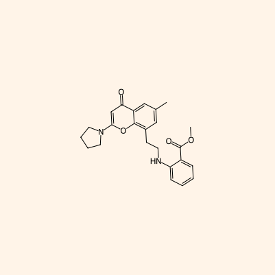 COC(=O)c1ccccc1NCCc1cc(C)cc2c(=O)cc(N3CCCC3)oc12